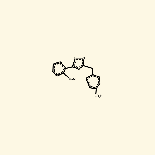 COc1ccccc1-c1nnc(Cc2ccc(C(=O)O)cc2)o1